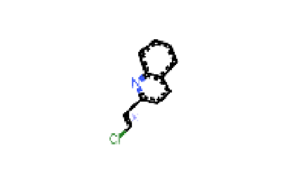 Cl/C=C/c1ccc2ccccc2n1